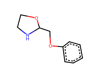 c1ccc(OCC2NCCO2)cc1